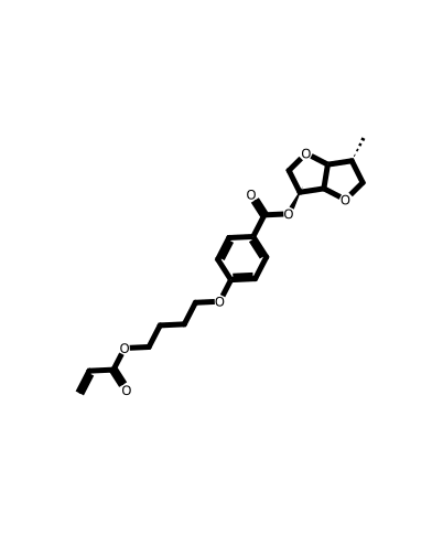 C=CC(=O)OCCCCOc1ccc(C(=O)O[C@H]2COC3C2OC[C@H]3C)cc1